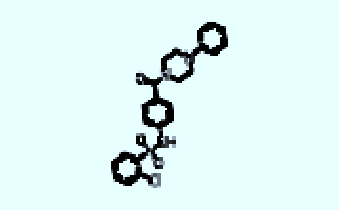 O=C(c1ccc(NS(=O)(=O)c2ccccc2Cl)cc1)N1CCN(c2ccccc2)CC1